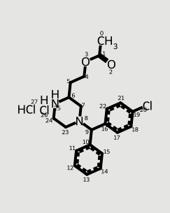 CC(=O)OCCC1CN(C(c2ccccc2)c2ccc(Cl)cc2)CCN1.Cl.Cl